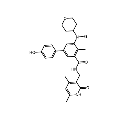 CCN(c1cc(-c2ccc(O)cc2)cc(C(=O)NCc2c(C)cc(C)[nH]c2=O)c1C)C1CCOCC1